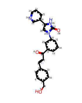 O=C(/C=C/c1ccc(CO)cc1)c1cccc(-n2cc(-c3cccnc3)[nH]c2=O)c1